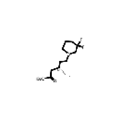 CC(C)COC(=O)C[C@@H](N)CCN1CCCC(F)(F)C1